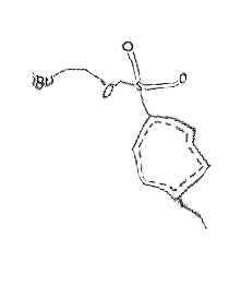 CCC(C)COS(=O)(=O)c1ccc(C)cc1